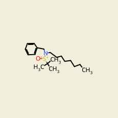 CCCCCCCCN(Cc1ccccc1)[S+]([O-])C(C)(C)C